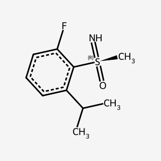 CC(C)c1cccc(F)c1[S@](C)(=N)=O